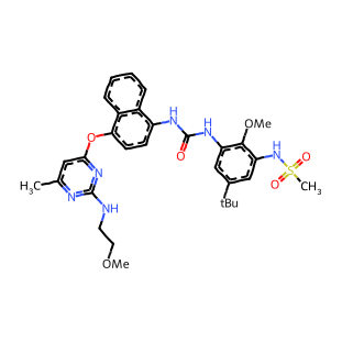 COCCNc1nc(C)cc(Oc2ccc(NC(=O)Nc3cc(C(C)(C)C)cc(NS(C)(=O)=O)c3OC)c3ccccc23)n1